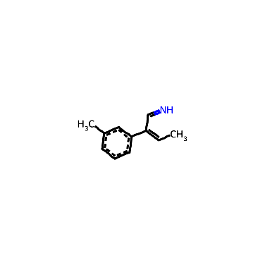 C/C=C(\C=N)c1cccc(C)c1